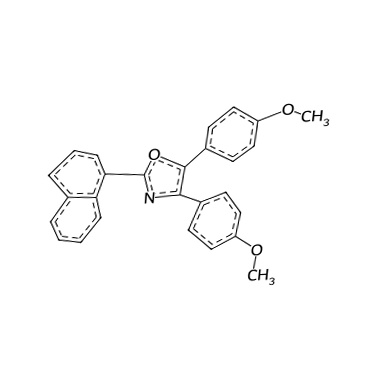 COc1ccc(-c2nc(-c3cccc4ccccc34)oc2-c2ccc(OC)cc2)cc1